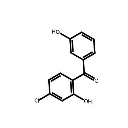 O=C(c1cccc(O)c1)c1ccc(Cl)cc1O